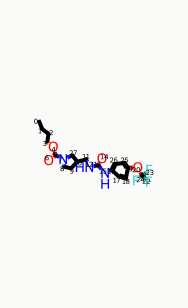 CCCCOC(=O)N1CCC(CNC(=O)Nc2ccc(OC(F)(F)F)cc2)C1